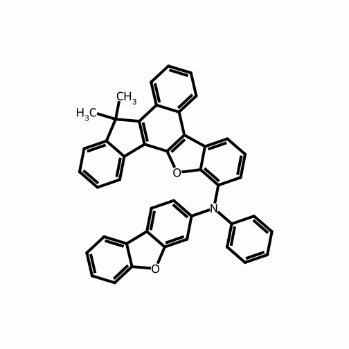 CC1(C)c2ccccc2-c2c1c1ccccc1c1c2oc2c(N(c3ccccc3)c3ccc4c(c3)oc3ccccc34)cccc21